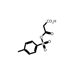 Cc1ccc(S(=O)(=O)OC(=O)CC(=O)O)cc1